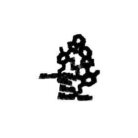 CO[Si](CCc1ccc(C)c(-c2nc3ccccc3s2)c1SSSSc1c(CC[Si](OC)(OC)OC)ccc(C)c1-c1nc2ccccc2s1)(OC)OC